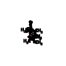 Cc1cccc(-c2ccc(N(c3ccc4c(c3)C(C)(C)c3ccc(-c5cc(C)cc(-c6ccc(N(c7ccc(-c8ccc(C9%10CC%11CC(CC(C%11)C9)C%10)cc8)cc7)c7ccc8c(c7)C(C)(C)c7ccccc7-8)c(-c7cccc(C)c7)c6)c5)cc3-4)c3cc4ccccc4c4ccccc34)c(-c3cccc(C)c3)c2)c1